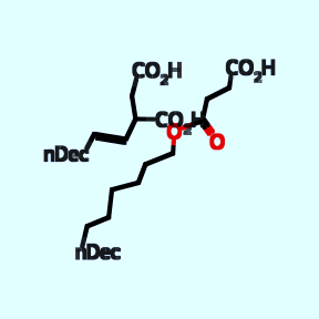 CCCCCCCCCCC=CC(CC(=O)O)C(=O)O.CCCCCCCCCCCCCCCCOC(=O)CCC(=O)O